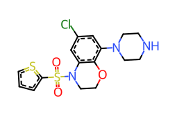 O=S(=O)(c1cccs1)N1CCOc2c(N3CCNCC3)cc(Cl)cc21